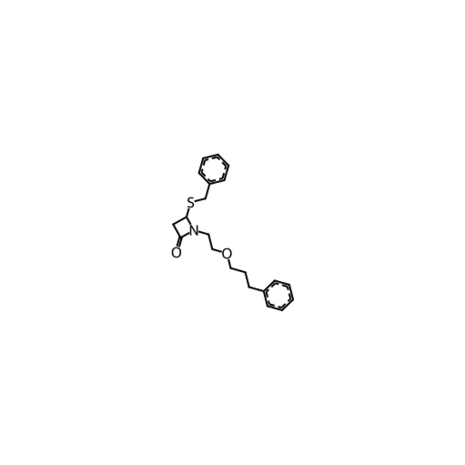 O=C1CC(SCc2ccccc2)N1CCOCCCc1ccccc1